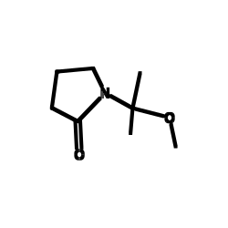 COC(C)(C)N1CCCC1=O